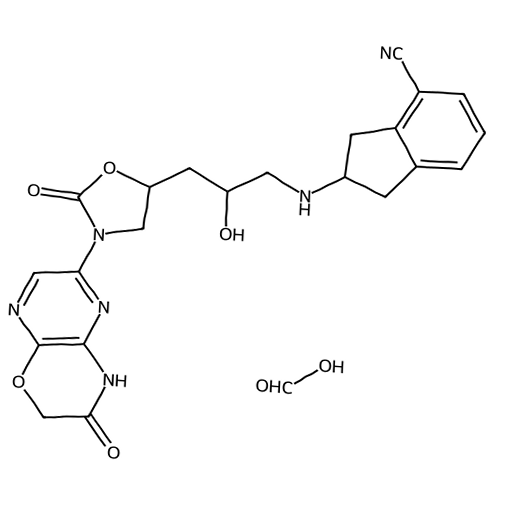 N#Cc1cccc2c1CC(NCC(O)CC1CN(c3cnc4c(n3)NC(=O)CO4)C(=O)O1)C2.O=CO